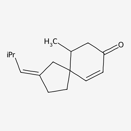 CC(C)C=C1CCC2(C=CC(=O)CC2C)C1